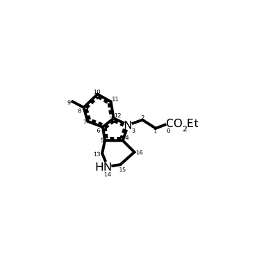 CCOC(=O)CCn1c2c(c3cc(C)ccc31)CNCC2